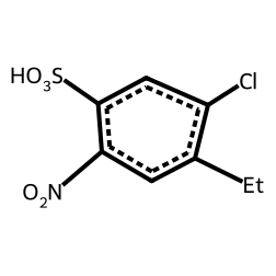 CCc1cc([N+](=O)[O-])c(S(=O)(=O)O)cc1Cl